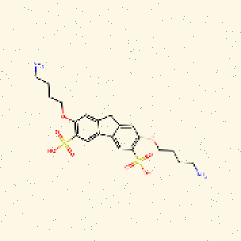 NCCCCOc1cc2c(cc1S(=O)(=O)O)-c1cc(S(=O)(=O)O)c(OCCCCN)cc1C2